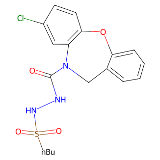 CCCCS(=O)(=O)NNC(=O)N1Cc2ccccc2Oc2ccc(Cl)cc21